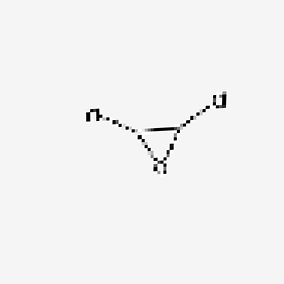 ClC1OC1Cl